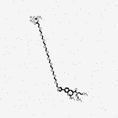 CCCN(OCC)C(=O)C1=Cc2ccc(-c3cnn(CCOCCOCCOCCOCCOCCOCCOCCOCCOCCOCCC(=O)OC(C)(C)C)c3)cc2N=C(N)C1